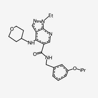 CCn1ncc2c(NC3CCOCC3)c(C(=O)NCc3cccc(OC(C)C)c3)cnc21